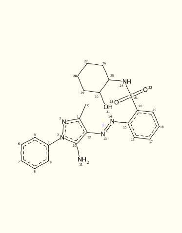 Cc1nn(-c2ccccc2)c(N)c1/N=N/c1ccccc1S(=O)(=O)NC1CCCCC1O